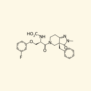 CN1N=C2CCN(C(=O)[C@@H](COc3cccc(F)c3)NC(=O)O)C[C@@]2(Cc2ccccc2)C1=O